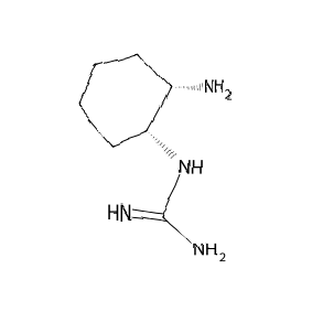 N=C(N)N[C@@H]1CCCC[C@@H]1N